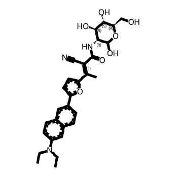 CCN(CC)c1ccc2cc(-c3ccc(/C(C)=C(\C#N)C(=O)N[C@H]4C(O)O[C@H](CO)[C@@H](O)[C@@H]4O)o3)ccc2c1